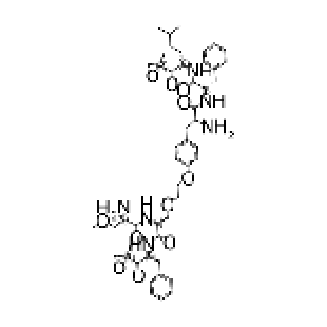 COC[C@H](N)C(=O)N[C@@H](COCCOc1ccc(CC(N)C(=O)N[C@@H](Cc2ccccc2)C(=O)N[C@@H](CCC(C)C)C(=O)[C@@]2(C)CO2)cc1)C(=O)N[C@@H](Cc1ccccc1)C(=O)[C@@]1(C)CO1